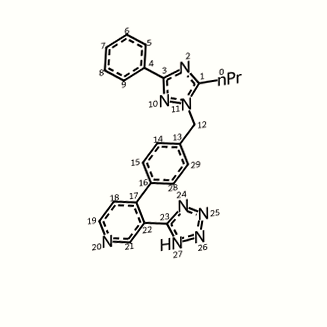 CCCc1nc(-c2ccccc2)nn1Cc1ccc(-c2ccncc2-c2nnn[nH]2)cc1